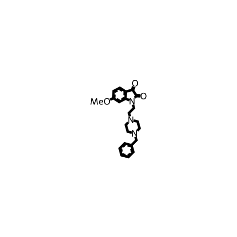 COc1ccc2c(c1)N(CCN1CCN(Cc3ccccc3)CC1)C(=O)C2=O